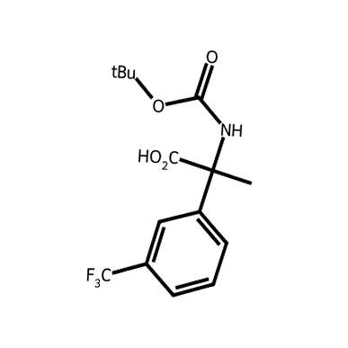 CC(C)(C)OC(=O)NC(C)(C(=O)O)c1cccc(C(F)(F)F)c1